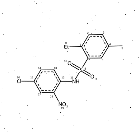 CCc1ccc(C)cc1S(=O)(=O)Nc1ccc(Cl)cc1[N+](=O)[O-]